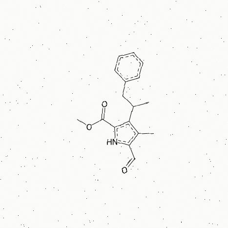 COC(=O)c1[nH]c(C=O)c(C)c1C(C)Cc1ccccc1